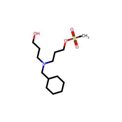 CS(=O)(=O)OCCCN(CCCO)CC1CCCCC1